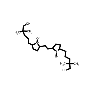 CC(C)(CO)CCCC1CCC(CCC2CCC(CCCC(C)(C)CO)[S+]2[O-])[S+]1[O-]